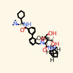 COc1c(CN2O[C@@H](CO)[C@@H]([C@H](C)O)[C@H]2C(=O)N[C@H]2C[C@H]3C[C@@H]([C@@H]2C)C3(C)C)cccc1-c1cccc(C(=O)N[C@H](CN(C)C)C2CCCCC2)c1